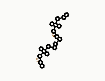 c1cc(-c2ccc3ccccc3c2)cc(-c2c3ccccc3c(-c3ccc4sc5cc6c(-c7ccc8c(-c9cccc(-c%10c%11ccccc%11c(-c%11ccc%12sc%13cc%14ccccc%14cc%13c%12c%11)c%11ccccc%10%11)c9)cccc8c7)cccc6cc5c4c3)c3ccccc23)c1